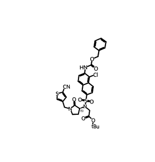 CC(C)(C)OC(=O)CN([C@H]1CCN(Cc2csc(C#N)c2)C1=O)S(=O)(=O)c1ccc2c(Cl)c(NC(=O)OCc3ccccc3)ccc2c1